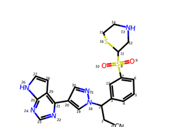 N#CCC(c1cccc(S(=O)(=O)C2CNCCS2)c1)n1cc(-c2ncnc3[nH]ccc23)cn1